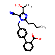 CCCCc1nc(C(C)O)c(C#N)n1Cc1ccc(-c2ccccc2C(=O)O)cc1